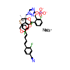 C[C@@H](SC1COC(C=CC=Cc2ccc(C#N)cc2F)OC1)[C@@](Cn1cncn1)(OC(=O)c1cccc(F)c1COP(=O)([O-])[O-])c1ccc(F)cc1F.[Na+].[Na+]